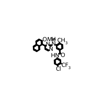 COc1ccc2ccccc2c1-c1ccnc(Nc2cc(C(=O)Nc3ccc(Cl)c(C(F)(F)F)c3)ccc2C)n1